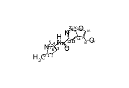 CC1CC2CCN1CC2NC(=O)c1cc2c(C=O)coc2cn1